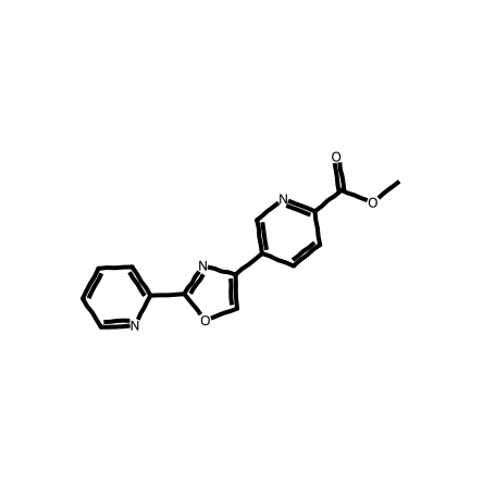 COC(=O)c1ccc(-c2coc(-c3ccccn3)n2)cn1